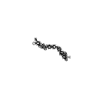 CC1(C)C(NC(=O)c2ccc(N3CCC(CN4CCN(c5cnn([C@@H]6CCC(=O)NC6=O)c(=O)c5)CC4)CC3)cc2)C(C)(C)C1Oc1ccc(C#N)c(Cl)c1